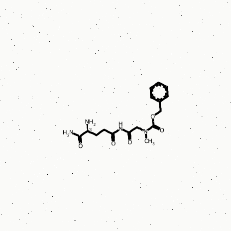 CN(CC(=O)NC(=O)CC[C@H](N)C(N)=O)C(=O)OCc1ccccc1